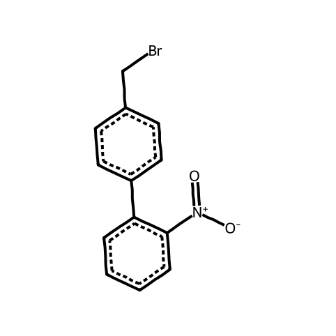 O=[N+]([O-])c1ccccc1-c1ccc(CBr)cc1